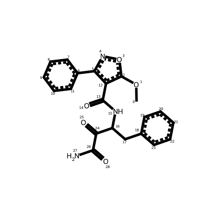 COc1onc(-c2ccccc2)c1C(=O)NC(Cc1ccccc1)C(=O)C(N)=O